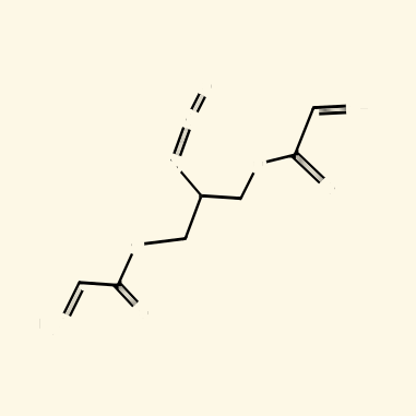 C=CC(=O)OCC(COC(=O)C=C)N=C=O